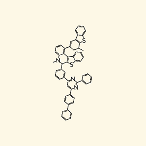 CC1CC(c2cccc3c2-c2c(sc4ccccc24)C(c2cccc(-c4cc(-c5ccc(-c6ccccc6)cc5)nc(-c5ccccc5)n4)c2)N3C)=Cc2c1sc1ccccc21